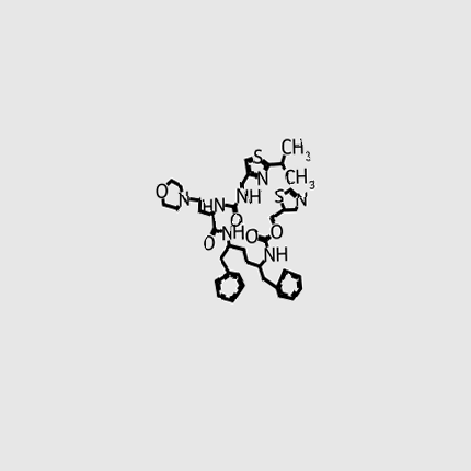 CC(C)c1nc(CNC(=O)NC(CCN2CCOCC2)C(=O)NC(CCC(Cc2ccccc2)NC(=O)OCC2CN=CS2)Cc2ccccc2)cs1